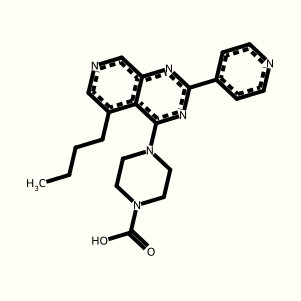 CCCCc1cncc2nc(-c3ccncc3)nc(N3CCN(C(=O)O)CC3)c12